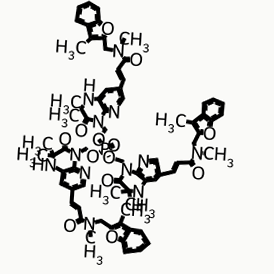 Cc1c(CN(C)C(=O)/C=C/c2cnc3c(c2)NC(C)(C)C(=O)N3COP(=O)(OCN2C(=O)C(C)(C)Nc3cc(/C=C/C(=O)N(C)Cc4oc5ccccc5c4C)cnc32)OCN2C(=O)C(C)(C)Nc3cc(/C=C/C(=O)N(C)Cc4oc5ccccc5c4C)cnc32)oc2ccccc12